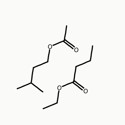 CC(=O)OCCC(C)C.CCCC(=O)OCC